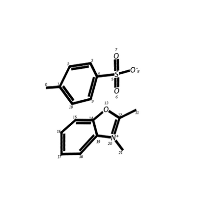 Cc1ccc(S(=O)(=O)[O-])cc1.Cc1oc2ccccc2[n+]1C